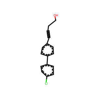 OCCC#Cc1ccc(-c2ccc(Cl)cc2)cc1